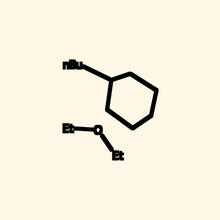 CCCCC1CCCCC1.CCOCC